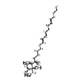 CCCCCCCCC=CCCCCCCCC(=O)C(O)C(O)(CO)C(C)=O